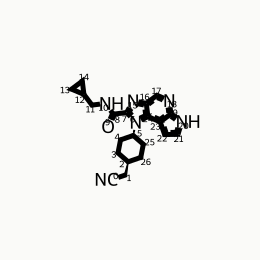 N#CC[C@H]1CC[C@H](n2c(C(=O)NCC3CC3)nc3cnc4[nH]ccc4c32)CC1